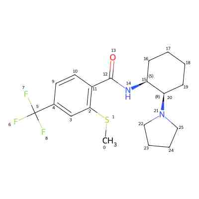 CSc1cc(C(F)(F)F)ccc1C(=O)N[C@H]1CCCC[C@H]1N1CCCC1